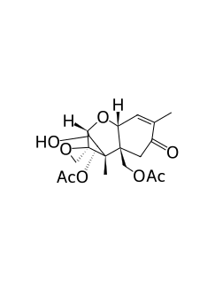 CC(=O)OC[C@]12CC(=O)C(C)=C[C@H]1O[C@@H]1C(O)[C@@H](OC(C)=O)[C@@]2(C)[C@]12CO2